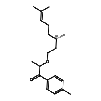 CC(C)=CCC[C@H](C)CCOC(C)C(=O)c1ccc(C)cc1